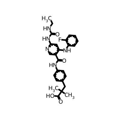 CCNC(=O)Nc1cc(Nc2ccccc2F)c(C(=O)Nc2ccc(CC(C)(C)C(=O)O)cc2)cn1